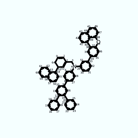 C1=CC(CN(c2ccc(-c3ccc(-c4ccccc4)c(-c4ccccc4)c3)cc2)c2cccc(-c3ccc4c(c3)-c3cccc5cccc(c35)O4)c2)=CC(c2cccc3ccccc23)C1